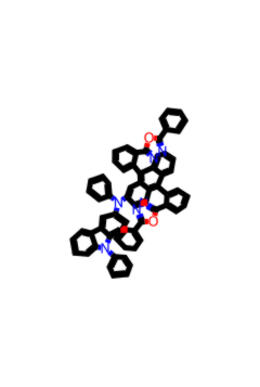 C1=CC(c2nnc(-c3ccccc3-c3c4ccccc4c(-c4ccccc4-c4nnc(-c5ccccc5)o4)c4cc(N(c5ccccc5)c5ccc6c(c5)c5ccccc5n6-c5ccccc5)ccc34)o2)=CCC1